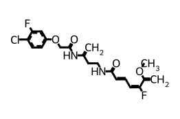 C=C(CCNC(=O)/C=C/C=C(/F)C(=C)OC)NC(=O)COc1ccc(Cl)c(F)c1